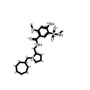 CNS(=O)(=O)c1cc(C(=O)NCC2CCCN2CC2CCCCCC2)c(OC)cc1N